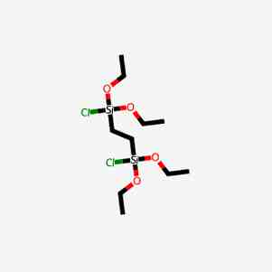 CCO[Si](Cl)(CC[Si](Cl)(OCC)OCC)OCC